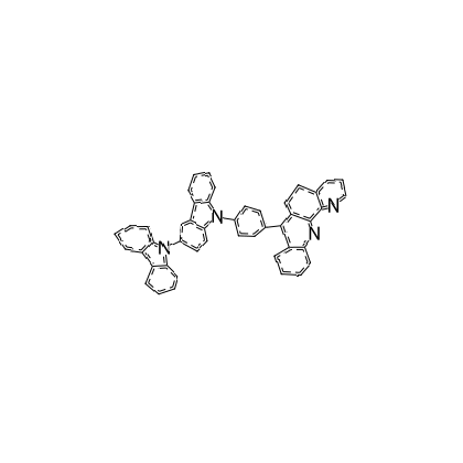 c1cnc2c(c1)ccc1c(-c3ccc(-n4c5ccccc5c5cc(-n6c7ccccc7c7ccccc76)ccc54)cc3)c3ccccc3nc12